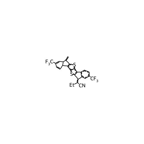 C=C1c2sc3c4c(sc3c2C2C=CC(C(F)(F)F)=CC12)/C(=C(/C#N)CC)c1cc(C(F)(F)F)ccc1-4